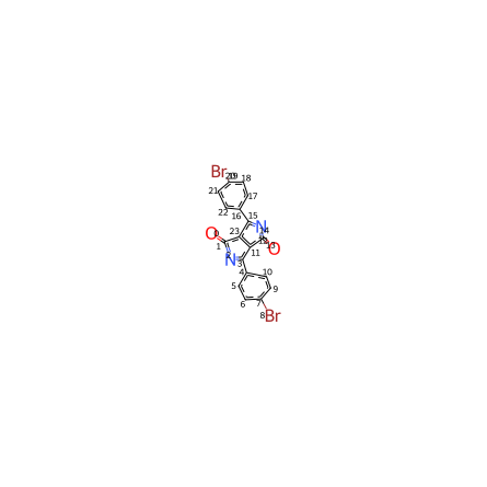 O=c1nc(-c2ccc(Br)cc2)c2c(=O)nc(-c3ccc(Br)cc3)c1=2